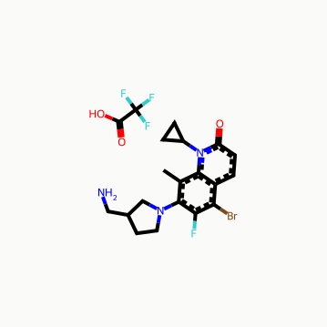 Cc1c(N2CCC(CN)C2)c(F)c(Br)c2ccc(=O)n(C3CC3)c12.O=C(O)C(F)(F)F